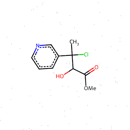 COC(=O)C(O)C(C)(Cl)c1cccnc1